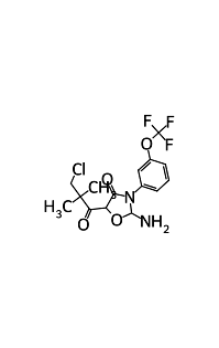 CC(C)(CCl)C(=O)C1OC(N)N(c2cccc(OC(F)(F)F)c2)C1=O